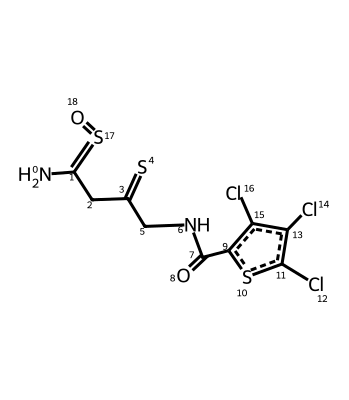 NC(CC(=S)CNC(=O)c1sc(Cl)c(Cl)c1Cl)=S=O